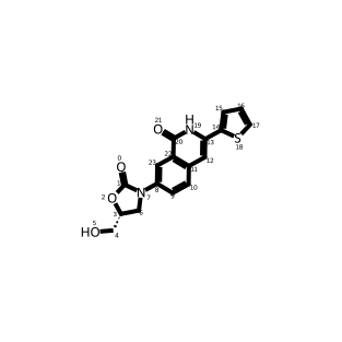 O=C1O[C@@H](CO)CN1c1ccc2cc(-c3cccs3)[nH]c(=O)c2c1